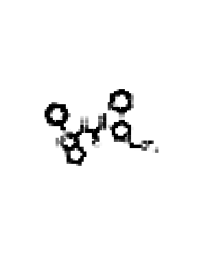 O=C(Nc1c2c(nn1-c1ccccc1)CCC2)N[C@H]1CN(CC(F)(F)F)C[C@@H]1c1ccccn1